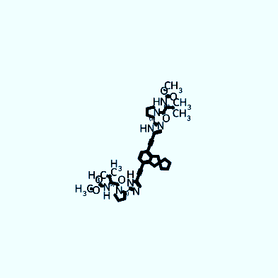 COC(=O)N[C@H](C(=O)N1CCC[C@H]1c1ncc(C#Cc2ccc(C#Cc3cnc([C@@H]4CCCN4C(=O)[C@@H](NC(=O)OC)C(C)C)[nH]3)c3c2CC2(CCCC2)C3)[nH]1)C(C)C